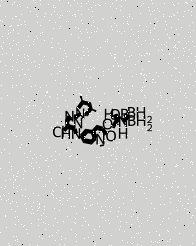 BC(B)(B)NC(=O)COc1cc2cc(Nc3nc(N4C[C@H](C)C[C@H](C)C4)ncc3Cl)ccc2n(C)c1=O